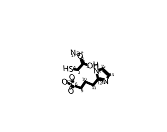 O=C(O)CS.O=S(=O)([O-])CCCc1ncc[nH]1.[Na+]